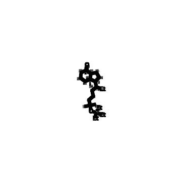 CCC(CCCC(C)(C)O[Si](CC)(CC)CC)C1CCC2C(=O)CCC[C@@]21C